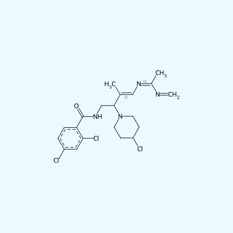 C=N/C(C)=N\C=C(/C)C(CNC(=O)c1ccc(Cl)cc1Cl)N1CCC(Cl)CC1